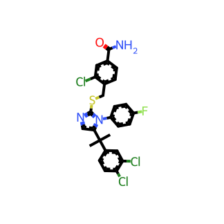 CC(C)(c1ccc(Cl)c(Cl)c1)c1cnc(SCc2ccc(C(N)=O)cc2Cl)n1-c1ccc(F)cc1